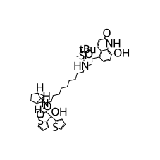 CN(CCCCCCCCCNC[C@H](O[Si](C)(C)C(C)(C)C)c1ccc(O)c2[nH]c(=O)ccc12)[C@H]1[C@H]2CC[C@@H]1[C@H](OC(=O)C(O)(c1cccs1)c1cccs1)C2